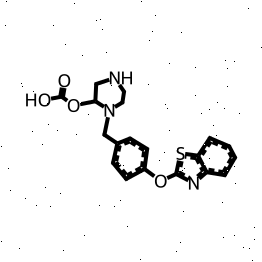 O=C(O)OC1CNCCN1Cc1ccc(Oc2nc3ccccc3s2)cc1